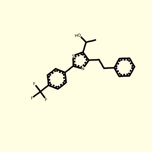 CC(O)c1sc(-c2ccc(C(F)(F)F)cc2)nc1CCc1ccccc1